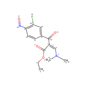 CCOC(=O)/C(=C\N(C)C)C(=O)c1ccc(N=O)c(F)c1